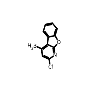 Bc1cc(Cl)nc2oc3ccccc3c12